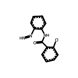 N=Nc1ccccc1NC(=O)c1ccccc1Cl